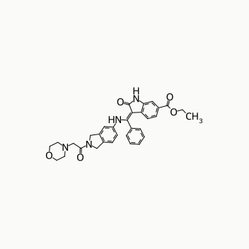 CCOC(=O)c1ccc2c(c1)NC(=O)/C2=C(\Nc1ccc2c(c1)CN(C(=O)CN1CCOCC1)C2)c1ccccc1